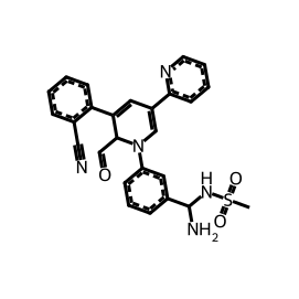 CS(=O)(=O)NC(N)c1cccc(N2C=C(c3ccccn3)C=C(c3ccccc3C#N)C2C=O)c1